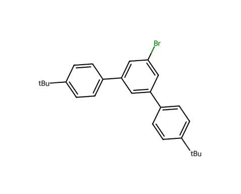 CC(C)(C)c1ccc(-c2cc(Br)cc(-c3ccc(C(C)(C)C)cc3)c2)cc1